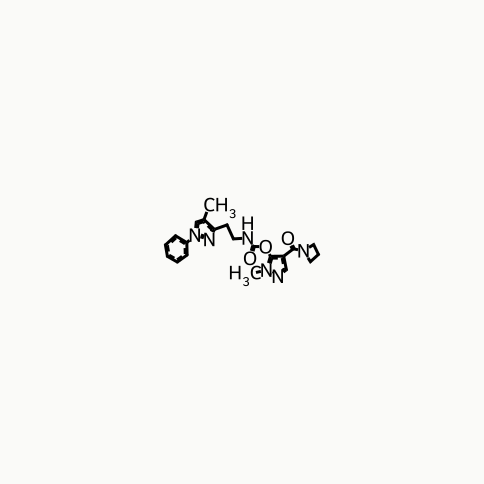 Cc1cn(-c2ccccc2)nc1CCNC(=O)Oc1c(C(=O)N2CCC2)cnn1C